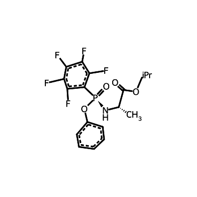 CC(C)OC(=O)[C@H](C)N[P@@](=O)(Oc1ccccc1)c1c(F)c(F)c(F)c(F)c1F